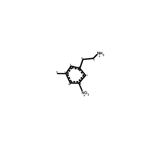 Cc1cc(CCN)cc([N+](=O)[O-])c1